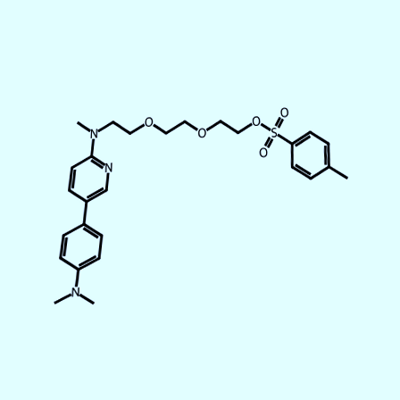 Cc1ccc(S(=O)(=O)OCCOCCOCCN(C)c2ccc(-c3ccc(N(C)C)cc3)cn2)cc1